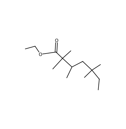 CCOC(=O)C(C)(C)C(C)CC(C)(C)CC